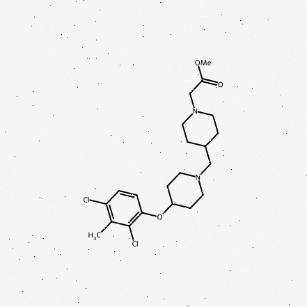 COC(=O)CN1CCC(CN2CCC(Oc3ccc(Cl)c(C)c3Cl)CC2)CC1